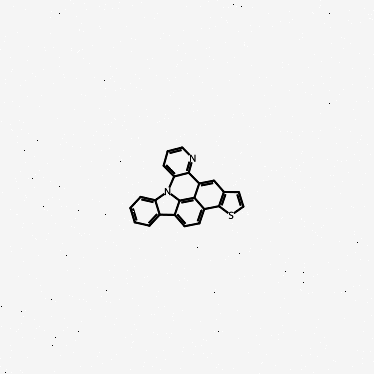 c1ccc2c(c1)c1ccc3c4sccc4cc4c5ncccc5n2c1c43